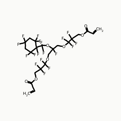 C=CC(=O)OCC(F)(F)C(F)(F)OCC(F)(COC(F)(F)C(F)(F)COC(=O)C=C)OC(F)(F)C1(F)C(F)(F)CC(F)(F)CC1(F)F